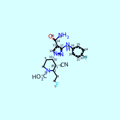 N#C[C@@H]1C(CCF)N(C(=O)O)CC[C@@H]1n1cc(C(N)=O)c(Nc2ccc(F)cc2)n1